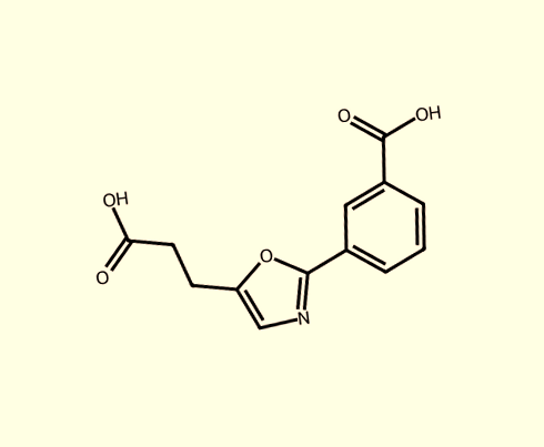 O=C(O)CCc1cnc(-c2cccc(C(=O)O)c2)o1